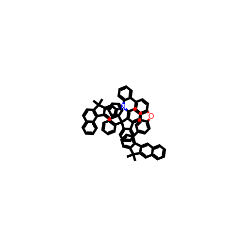 CC1(C)c2cc3ccccc3cc2-c2c(-c3ccc4oc5ccc(-c6ccccc6N(c6ccc7c(c6)C(C)(C)c6ccc8ccccc8c6-7)c6cccc7c6C(c6ccccc6)(c6ccccc6)c6ccccc6-7)cc5c4c3)cccc21